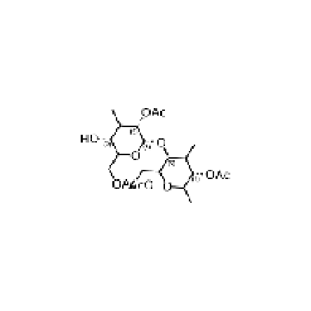 CC(=O)OCC1O[C@@H](O[C@@H]2C(COC(C)=O)OC(C)[C@@H](OC(C)=O)C2C)[C@@H](OC(C)=O)C(C)[C@H]1O